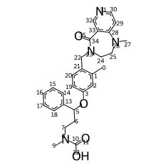 Cc1cc(OC(CCN(C)C(=O)O)c2ccccc2)ccc1CN1CCN(C)c2ccncc2C1=O